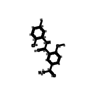 COc1ccc(C(N)=O)cc1C(=O)Nc1cc(C)ccc1Cl